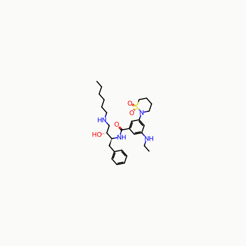 CCCCCCNC[C@@H](O)[C@H](Cc1ccccc1)NC(=O)c1cc(NCC)cc(N2CCCCS2(=O)=O)c1